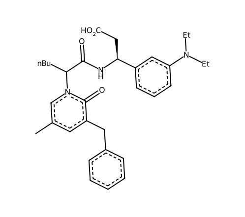 CCCCC(C(=O)N[C@@H](CC(=O)O)c1cccc(N(CC)CC)c1)n1cc(C)cc(Cc2ccccc2)c1=O